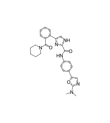 CN(C)c1ncc(-c2ccc(NC(=O)c3nc(-c4ccccc4C(=O)N4CCCCC4)c[nH]3)cc2)o1